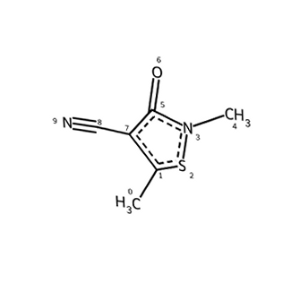 Cc1sn(C)c(=O)c1C#N